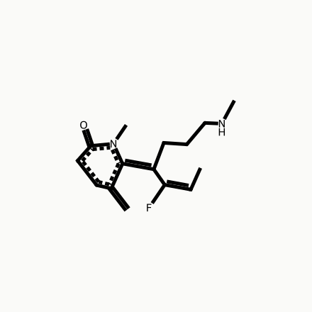 C=c1ccc(=O)n(C)/c1=C(CCCNC)/C(F)=C\C